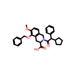 COc1ccc2c(c1OCc1ccccc1)CC(C(=O)O)N(C(=O)C(c1ccccc1)C1CCCC1)C2